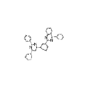 c1ccc(-c2cc(-c3cccc(-c4nc(-c5ccccc5)c5ccccc5n4)c3)nc(-c3ccccc3)n2)cc1